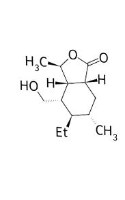 CC[C@H]1[C@H](CO)[C@@H]2[C@@H](C)OC(=O)[C@@H]2C[C@@H]1C